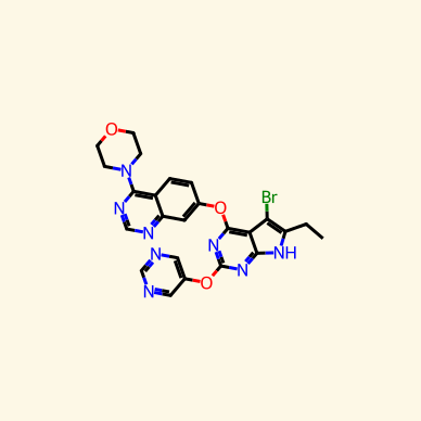 CCc1[nH]c2nc(Oc3cncnc3)nc(Oc3ccc4c(N5CCOCC5)ncnc4c3)c2c1Br